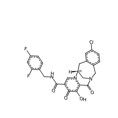 O=C(NCc1ccc(F)cc1F)c1cn2c(c(O)c1=O)C(=O)N1Cc3ccc(Cl)cc3C[C@@H]2C1